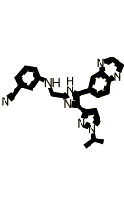 CC(C)n1ccc(-c2nc(CNc3cccc(C#N)c3)[nH]c2-c2ccc3nccnc3c2)n1